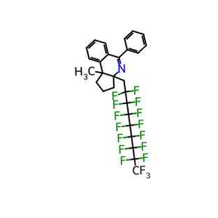 CC12CCCC1(CC(F)(F)C(F)(F)C(F)(F)C(F)(F)C(F)(F)C(F)(F)C(F)(F)C(F)(F)F)N=C(c1ccccc1)c1ccccc12